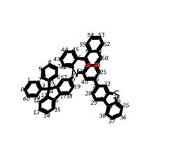 c1ccc(C2(c3ccccc3)c3ccccc3-c3ccc(N(c4cccc(-c5ccc6c(c5)sc5ccccc56)c4)c4ccccc4-c4cccc5ccccc45)cc32)cc1